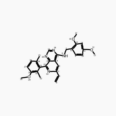 C=Cc1cc2c(NCc3ccc(OC)cc3OC)ncnc2c(-c2c(C)ccc(OC)c2C)n1